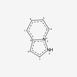 [c]1c[nH][n+]2ccccc12